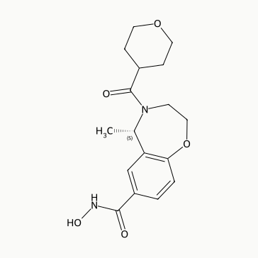 C[C@H]1c2cc(C(=O)NO)ccc2OCCN1C(=O)C1CCOCC1